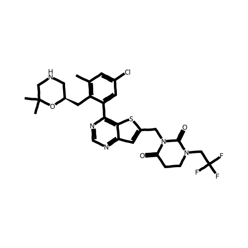 Cc1cc(Cl)cc(-c2ncnc3cc(CN4C(=O)CCN(CC(F)(F)F)C4=O)sc23)c1C[C@@H]1CNCC(C)(C)O1